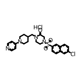 Cl.O=C1CN(S(=O)(=O)c2ccc3cc(Cl)ccc3c2)CCN1CC1CCN(c2ccncc2)CC1